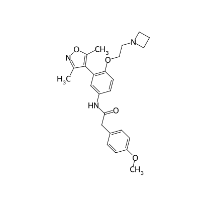 COc1ccc(CC(=O)Nc2ccc(OCCN3CCC3)c(-c3c(C)noc3C)c2)cc1